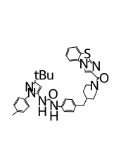 Cc1ccc(-n2nc(C(C)(C)C)cc2NC(=O)Nc2ccc(CC3CCN(C(=O)c4cn5c(n4)sc4ccccc45)CC3)cc2)cc1